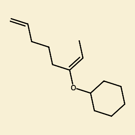 C=CCCCC(=CC)OC1CCCCC1